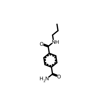 CCCNC(=O)c1ccc(C(N)=O)cc1